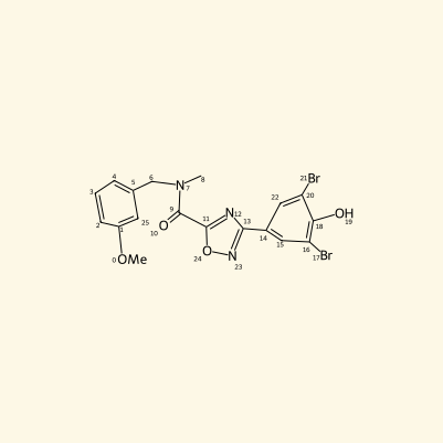 COc1cccc(CN(C)C(=O)c2nc(-c3cc(Br)c(O)c(Br)c3)no2)c1